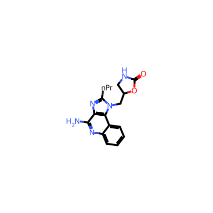 CCCc1nc2c(N)nc3ccccc3c2n1CC1CNC(=O)O1